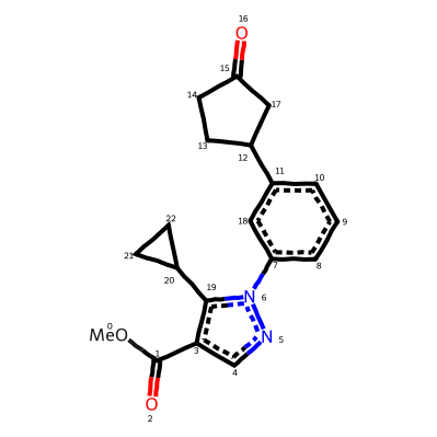 COC(=O)c1cnn(-c2cccc(C3CCC(=O)C3)c2)c1C1CC1